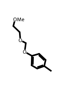 COCCOCOc1ccc(C)cc1